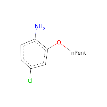 CCCCCOc1cc(Cl)ccc1N